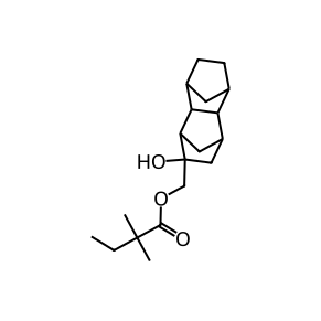 CCC(C)(C)C(=O)OCC1(O)CC2CC1C1C3CCC(C3)C21